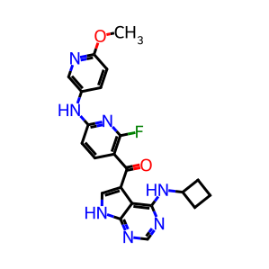 COc1ccc(Nc2ccc(C(=O)c3c[nH]c4ncnc(NC5CCC5)c34)c(F)n2)cn1